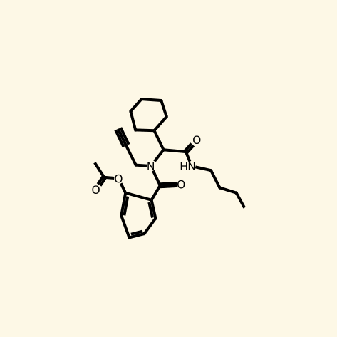 C#CCN(C(=O)c1ccccc1OC(C)=O)C(C(=O)NCCCC)C1CCCCC1